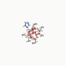 CC(C)C[Si]12O[Si]3(CC(C)C)O[Si]4(CC(C)C)O[Si](CC(C)C)(O1)O[Si]1(CC(C)C)O[Si](CC(C)C)(O2)O[Si](CC(C)C)(O3)O[Si](Cn2ccnc2)(O4)O1